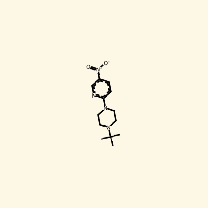 CC(C)(C)N1CCN(c2ccc([N+](=O)[O-])cn2)CC1